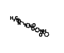 Cn1cnc(CCN2CCN(C(=O)Oc3ccc(NC(=O)C4CCCCC4)cc3)CC2)c1